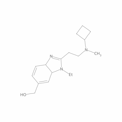 CCN1C(CCN(C)C2CCC2)=NC2C=CC(CO)=CC21